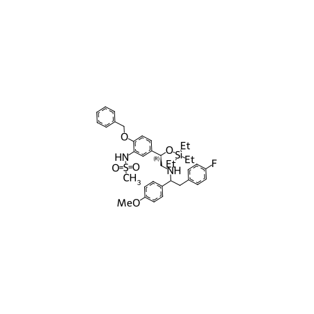 CC[Si](CC)(CC)O[C@@H](CNC(Cc1ccc(F)cc1)c1ccc(OC)cc1)c1ccc(OCc2ccccc2)c(NS(C)(=O)=O)c1